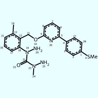 CSc1ccc(-c2cccc(OCc3c(C)cccc3N(N)C(=O)N(C)N)n2)cc1